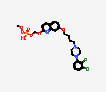 COOP(=O)(O)OCOc1ccc2ccc(OCCCCN3CCN(c4cccc(Cl)c4Cl)CC3)cc2n1